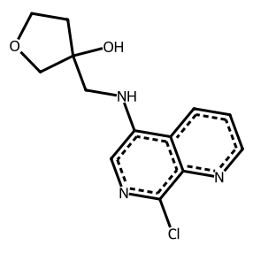 OC1(CNc2cnc(Cl)c3ncccc23)CCOC1